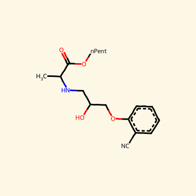 CCCCCOC(=O)C(C)NCC(O)COc1ccccc1C#N